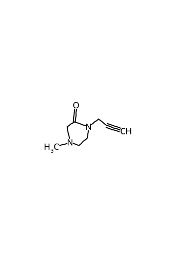 C#CCN1CCN(C)CC1=O